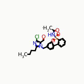 [CH2]C(=O)NS(=O)(=O)c1ccccc1-c1ccc(Cn2c(CCCC)nc(Cl)c2C=O)cc1